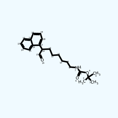 CC(C)(C)OC(=O)NCCCCCCC(C=O)c1cccc2ccccc12